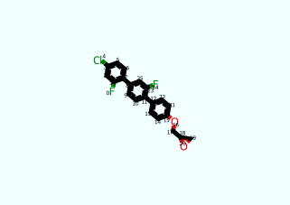 Fc1cc(Cl)ccc1-c1ccc(-c2ccc(OCC3CO3)cc2)c(F)c1